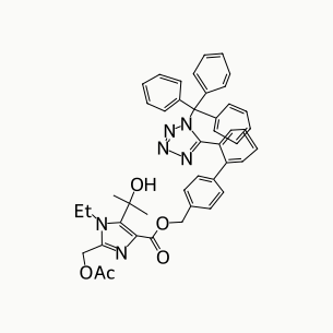 CCn1c(COC(C)=O)nc(C(=O)OCc2ccc(-c3ccccc3-c3nnnn3C(c3ccccc3)(c3ccccc3)c3ccccc3)cc2)c1C(C)(C)O